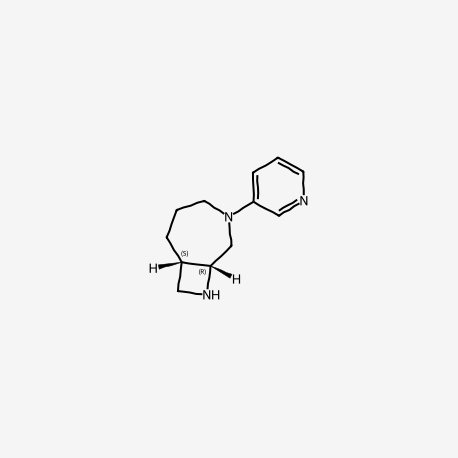 c1cncc(N2CCC[C@H]3CN[C@H]3C2)c1